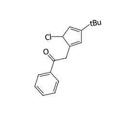 CC(C)(C)C1=CC(Cl)C(CC(=O)c2ccccc2)=C1